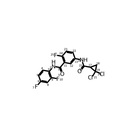 O=C(Nc1ccc(F)cc1F)c1cc(NC(=O)C2CC2(Cl)Cl)ccc1F